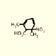 CC1=CC=CC(C)([N+](=O)[O-])C1C(=O)O